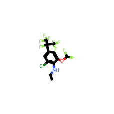 CCNc1c(Cl)cc(C(F)(C(F)(F)F)C(F)(F)F)cc1OC(F)F